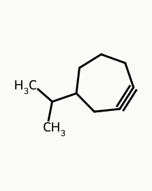 CC(C)C1CC#CCCC1